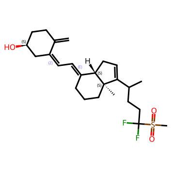 C=C1CC[C@H](O)C/C1=C/C=C1\CCC[C@]2(C)C(C(C)CCC(F)(F)S(C)(=O)=O)=CC[C@@H]12